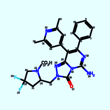 Cc1cc(-c2c(-c3ccccc3)nc(N)n3c(=O)n(CC4CC(F)(F)CN4C(=O)O)nc23)cc(C)n1